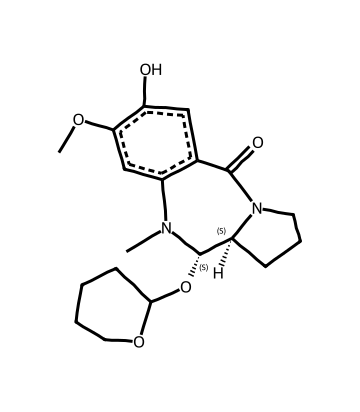 COc1cc2c(cc1O)C(=O)N1CCC[C@H]1[C@H](OC1CCCCO1)N2C